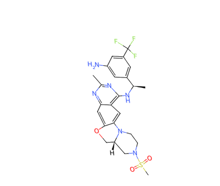 Cc1nc(N[C@H](C)c2cc(N)cc(C(F)(F)F)c2)c2cc3c(cc2n1)OC[C@H]1CN(S(C)(=O)=O)CCN31